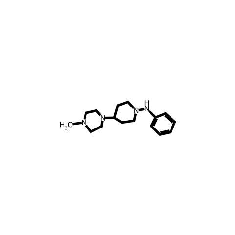 CN1CCN(C2CCN(Nc3ccccc3)CC2)CC1